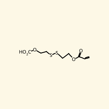 C=CC(=O)OCCSSCCOC(=O)O